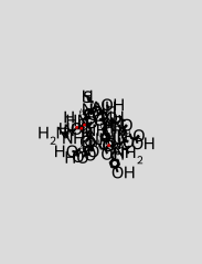 CSCC[C@H](NC(=O)[C@H](CO)NC(=O)[C@H](Cc1ccccc1)NC(=O)[C@@H](NC(=O)[C@H](CCC(=O)O)NC(=O)[C@H](CC(C)C)NC(=O)[C@@H](N)Cc1ccc(O)cc1)C(C)C)C(=O)N[C@@H](C)C(=O)N[C@@H](CCCNC(=N)N)C(=O)N[C@@H](CC(=O)O)C(=O)N[C@@H](CCC(=O)O)C(=O)N[C@@H](CC(=O)O)C(=O)O